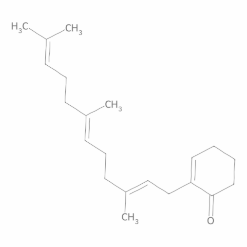 CC(C)=CCC/C(C)=C/CC/C(C)=C/CC1=CCCCC1=O